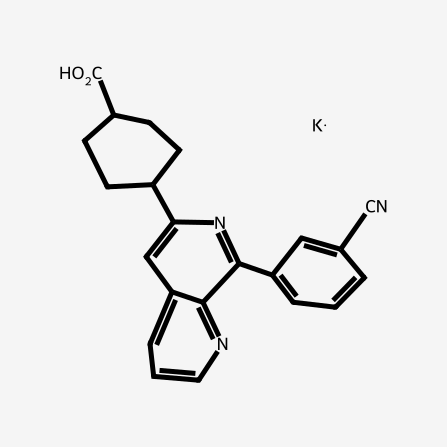 N#Cc1cccc(-c2nc(C3CCC(C(=O)O)CC3)cc3cccnc23)c1.[K]